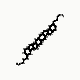 CCCCc1ccc2sc3c4cc5cc6sc7c8cc(CCCC)ccc8sc7c6cc5cc4sc3c2c1